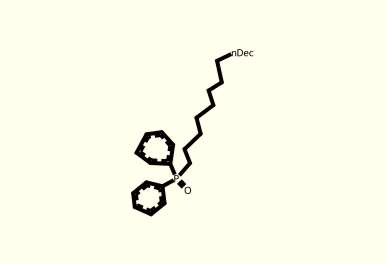 CCCCCCCCCCCCCCCCCCP(=O)(c1ccccc1)c1ccccc1